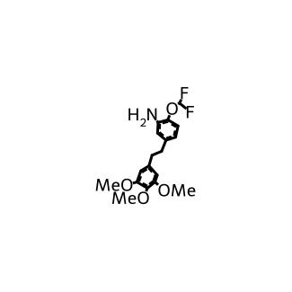 COc1cc(CCc2ccc(OC(F)F)c(N)c2)cc(OC)c1OC